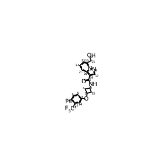 O=C(NC1CC(Oc2ccc(F)c(C(F)(F)F)c2)C1)c1cnn2c(CO)cccc12